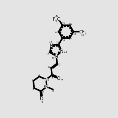 CN1C(=O)CCCN1C(=O)C=Cn1cnc(-c2cc(C(F)(F)F)cc(C(F)(F)F)c2)n1